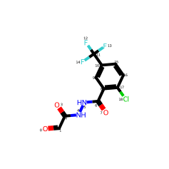 O=CC(=O)NNC(=O)c1cc(C(F)(F)F)ccc1Cl